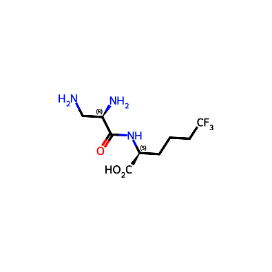 NC[C@@H](N)C(=O)N[C@@H](CCCC(F)(F)F)C(=O)O